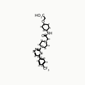 O=C(O)CO[C@H]1CC[C@H](NC(=O)CN2CCN(c3nncc(-c4ccc(C(F)(F)F)cc4)n3)CC2)CC1